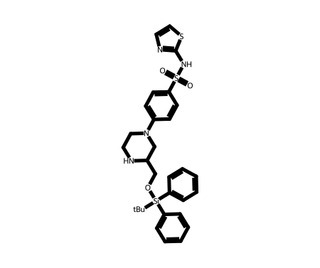 CC(C)(C)[Si](OCC1CN(c2ccc(S(=O)(=O)Nc3nccs3)cc2)CCN1)(c1ccccc1)c1ccccc1